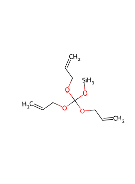 C=CCOC(O[SiH3])(OCC=C)OCC=C